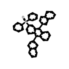 O=P(c1ccccc1)(c1ccccc1)c1ccc2c(-c3ccc4ccccc4c3)c3ccccc3c(-c3ccc4ccccc4c3)c2c1